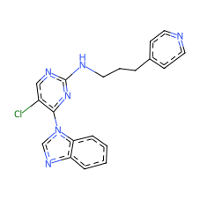 Clc1cnc(NCCCc2ccncc2)nc1-n1cnc2ccccc21